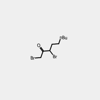 CCCCCCC(Br)C(=O)CBr